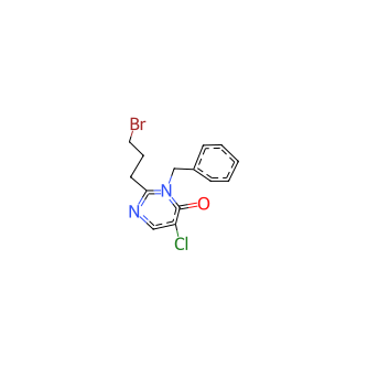 O=c1c(Cl)cnc(CCCBr)n1Cc1ccccc1